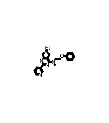 CCN1Cc2nc(-c3cccnc3)nc(N(C)CCOc3ccccc3)c2C1